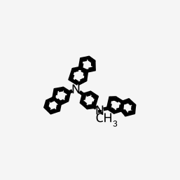 CN(c1ccc(N(c2ccc3ccccc3c2)c2ccc3ccccc3c2)cc1)c1ccc2ccccc2c1